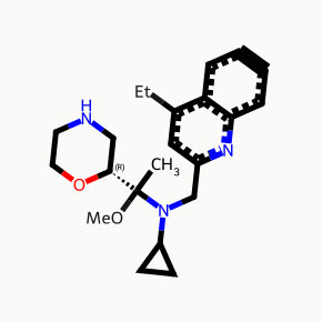 CCc1cc(CN(C2CC2)C(C)(OC)[C@H]2CNCCO2)nc2cc#ccc12